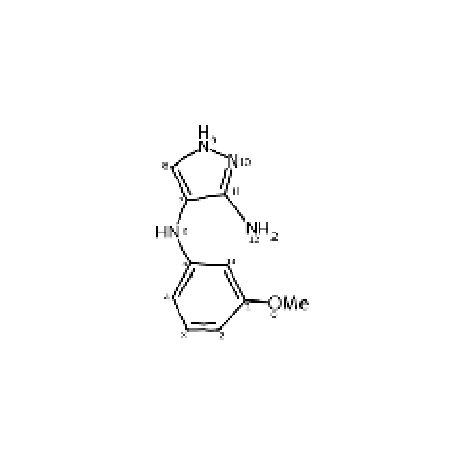 COc1cccc(Nc2c[nH]nc2N)c1